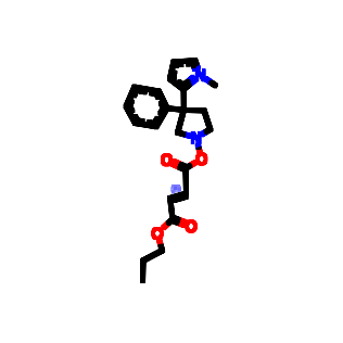 CCCOC(=O)/C=C/C(=O)ON1CCC(c2ccccc2)(c2cccn2C)C1